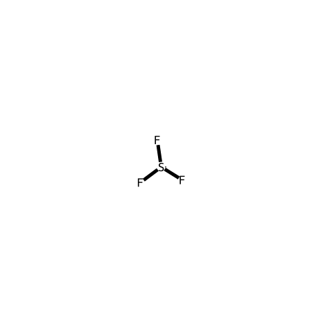 F[S](F)F